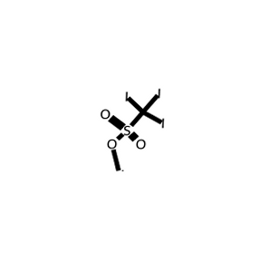 [CH2]OS(=O)(=O)C(I)(I)I